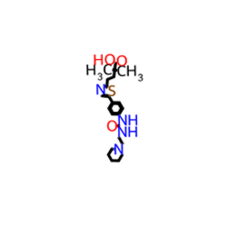 CC(C)(CCc1ncc(-c2ccc(NC(=O)NCCN3CCCCC3)cc2)s1)C(=O)O